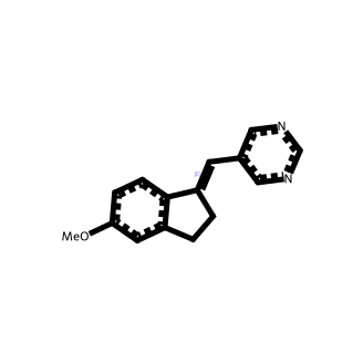 COc1ccc2c(c1)CC/C2=C\c1cncnc1